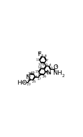 NC(=O)c1cc(-c2ccc(F)cc2)c2ccc(Cc3ccnc(CO)c3)cc2n1